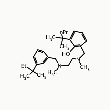 CCCC(C)(C)c1cccc(CN(C)CCN(C)Cc2cccc(C(C)(C)CC)c2)c1O